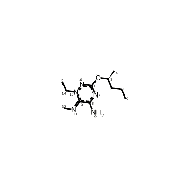 CCC[C@H](C)Oc1nc(N)/c(=N/C)n(CC)n1